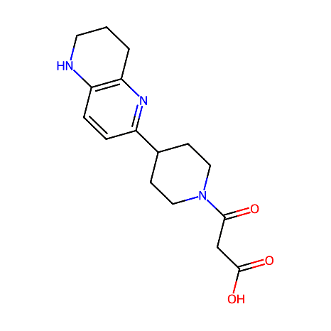 O=C(O)CC(=O)N1CCC(c2ccc3c(n2)CCCN3)CC1